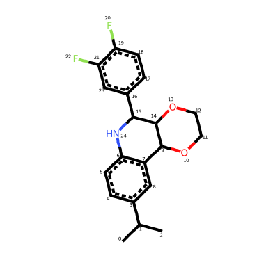 CC(C)c1ccc2c(c1)C1OCCOC1C(c1ccc(F)c(F)c1)N2